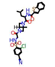 CC(C)CC(NC(=O)c1cc2ccccc2s1)C(=O)N1C[C@H]2N(C(=O)CNS(=O)(=O)c3ccc(C#N)cc3Cl)CC21C